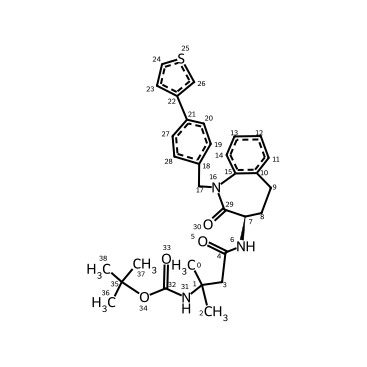 CC(C)(CC(=O)N[C@@H]1CCc2ccccc2N(Cc2ccc(-c3ccsc3)cc2)C1=O)NC(=O)OC(C)(C)C